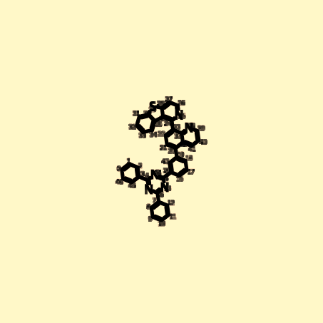 c1ccc(-c2nc(-c3ccccc3)nc(-c3cccc(-c4ccc(-c5nccc6sc7ccccc7c56)c5ncccc45)c3)n2)cc1